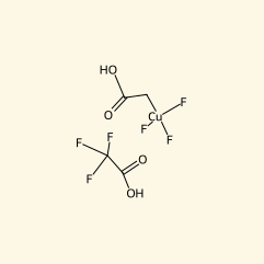 O=C(O)C(F)(F)F.O=C(O)[CH2][Cu]([F])([F])[F]